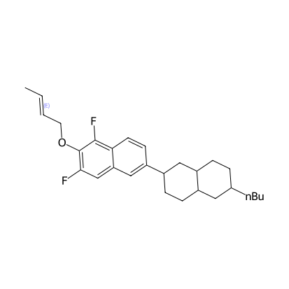 C/C=C/COc1c(F)cc2cc(C3CCC4CC(CCCC)CCC4C3)ccc2c1F